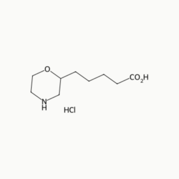 Cl.O=C(O)CCCCC1CNCCO1